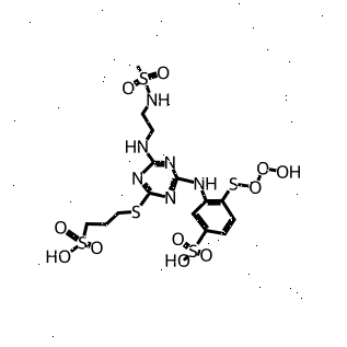 CS(=O)(=O)NCCNc1nc(Nc2cc(S(=O)(=O)O)ccc2SOOO)nc(SCCCS(=O)(=O)O)n1